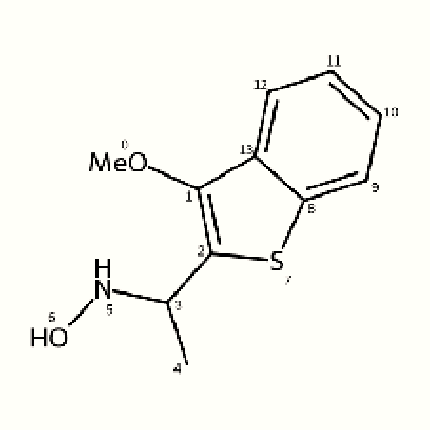 COc1c(C(C)NO)sc2ccccc12